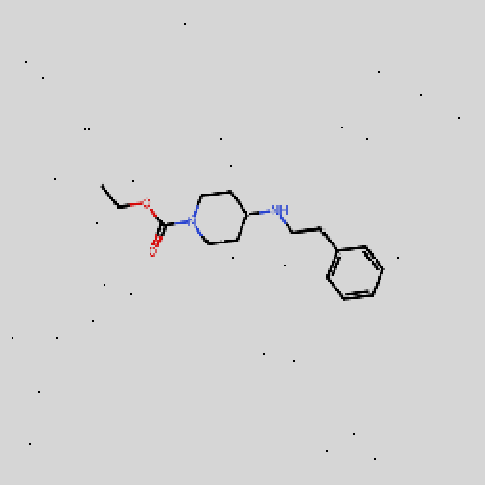 CCOC(=O)N1CCC(NC[CH]c2ccccc2)CC1